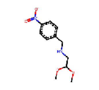 COC(CNCc1ccc([N+](=O)[O-])cc1)OC